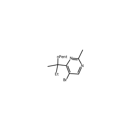 CCCCCC(C)(CC)c1nc(C)ncc1Br